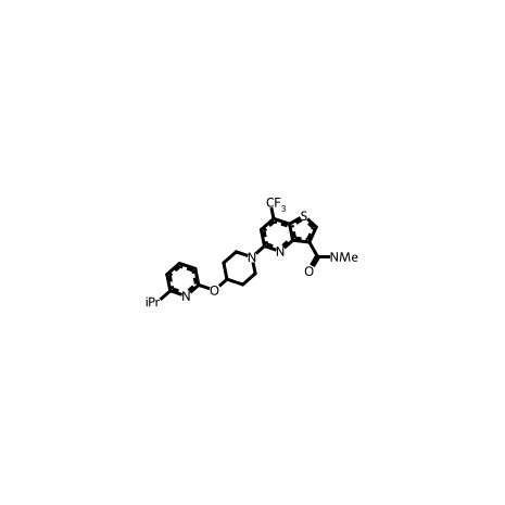 CNC(=O)c1csc2c(C(F)(F)F)cc(N3CCC(Oc4cccc(C(C)C)n4)CC3)nc12